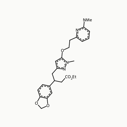 CCOC(=O)CC(Cc1cc(OCCc2cccc(NC)n2)n(C)n1)c1ccc2c(c1)OCO2